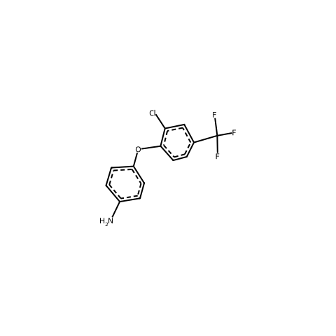 Nc1ccc(Oc2ccc(C(F)(F)F)cc2Cl)cc1